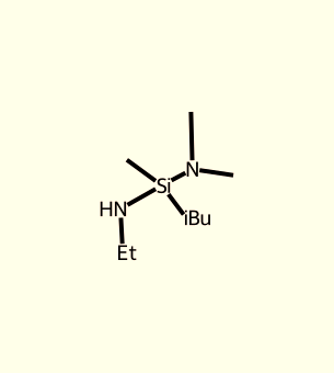 CCN[Si](C)(C(C)CC)N(C)C